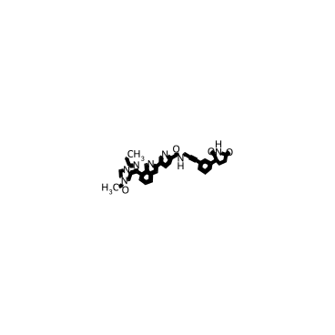 CCc1nc(-c2cccc3cc(-c4ccc(C(=O)NCC#Cc5cccc(C6CCC(=O)NC6=O)c5)nc4)ncc23)c2n1CCN(C(C)=O)C2